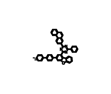 C[C@@H]1C=CC(c2ccc(-c3cc(-c4nc(-c5ccccc5)nc(-c5ccc6c(ccc7ccccc76)c5)n4)c4c(c3)oc3ccccc34)cc2)=CC1